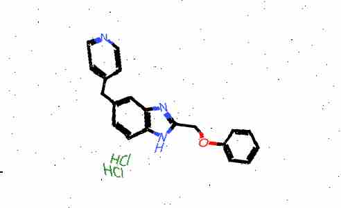 Cl.Cl.c1ccc(OCc2nc3cc(Cc4ccncc4)ccc3[nH]2)cc1